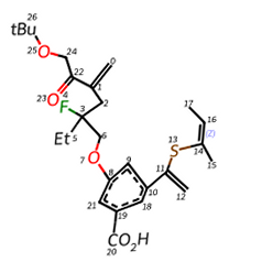 C=C(CC(F)(CC)COc1cc(C(=C)S/C(C)=C\C)cc(C(=O)O)c1)C(=O)COC(C)(C)C